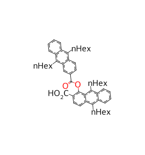 CCCCCCc1c2ccccc2c(CCCCCC)c2cc(C(=O)Oc3c(C(=O)O)ccc4c(CCCCCC)c5ccccc5c(CCCCCC)c34)ccc12